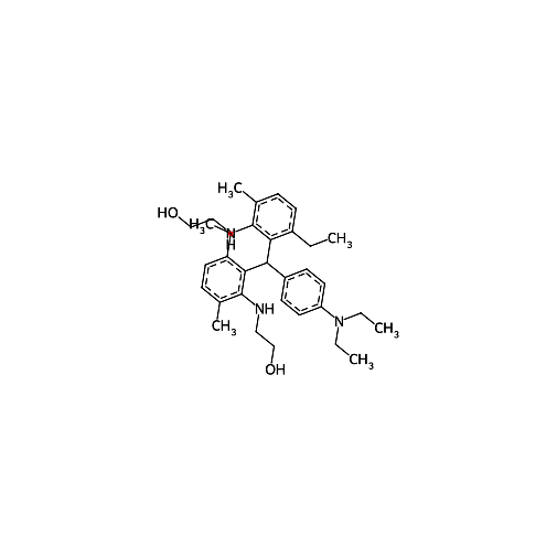 CCc1ccc(C)c(NCCO)c1C(c1ccc(N(CC)CC)cc1)c1c(CC)ccc(C)c1NCCO